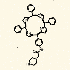 O=C(CN1CCNCC1)Nc1ccc(-c2c3nc(c(-c4ccccc4)c4ccc([nH]4)c(-c4ccccc4)c4nc(c(-c5ccccc5)c5ccc2[nH]5)CC4)C=C3)cc1